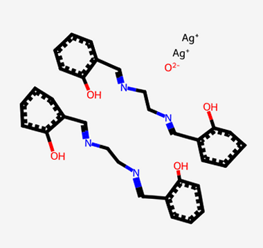 Oc1ccccc1C=NCCN=Cc1ccccc1O.Oc1ccccc1C=NCCN=Cc1ccccc1O.[Ag+].[Ag+].[O-2]